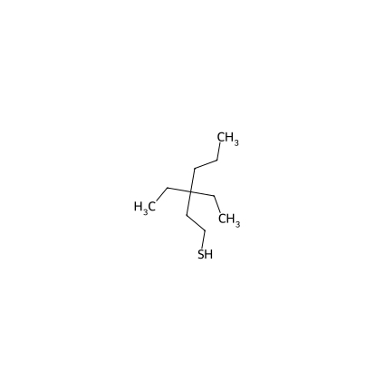 CCCC(CC)(CC)CCS